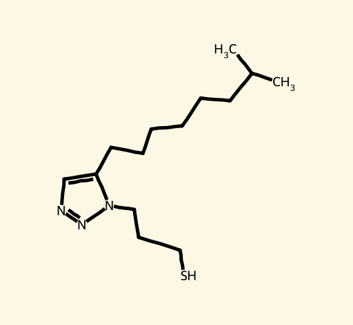 CC(C)CCCCCCc1cnnn1CCCS